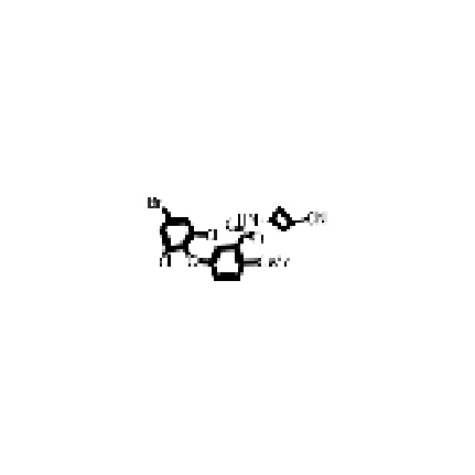 COc1ccc(Oc2c(Cl)cc(Br)cc2Cl)cc1S(=O)(=O)N[C@H]1C[C@H](C#N)C1